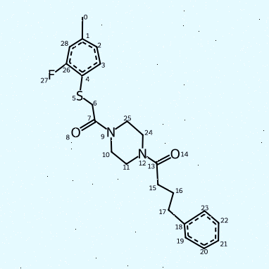 Cc1ccc(SCC(=O)N2CCN(C(=O)CCCc3ccccc3)CC2)c(F)c1